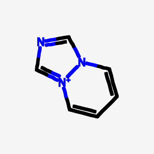 c1cc[n+]2cncn2c1